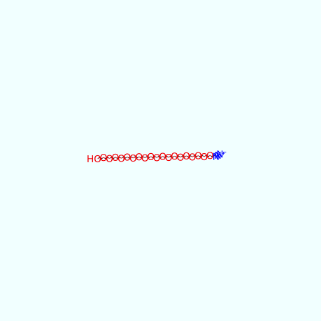 [N-]=[N+]=NCCOCCOCCOCCOCCOCCOCCOCCOCCOCCOCCOCCOCCOCCOCCOCCOCCOCCOCCOCCO